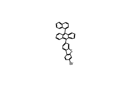 Brc1ccc2c(c1)sc1cc(-c3c4ccccc4c(-c4cccc5ccccc45)c4ccccc34)ccc12